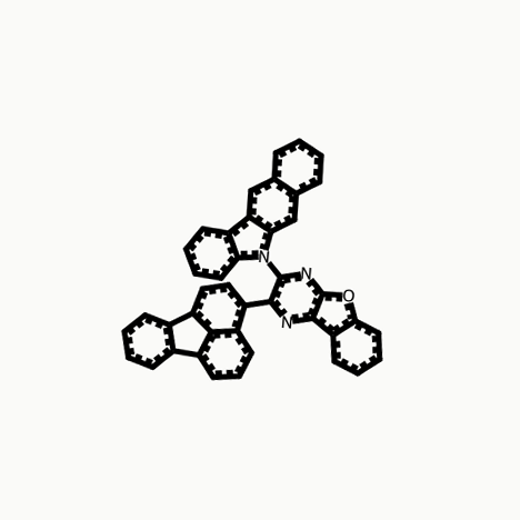 c1ccc2c(c1)-c1cccc3c(-c4nc5c(nc4-n4c6ccccc6c6cc7ccccc7cc64)oc4ccccc45)ccc-2c13